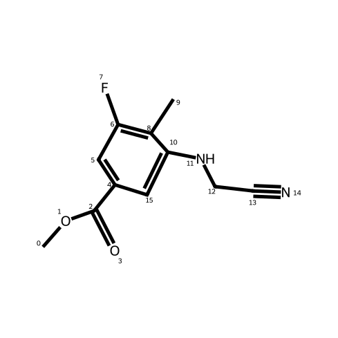 COC(=O)c1cc(F)c(C)c(NCC#N)c1